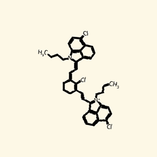 CCCCn1/c(=C\C=C2\CCCC(/C=C/C3=[N+](CCCC)c4ccc(Cl)c5cccc3c45)=C2Cl)c2cccc3c(Cl)ccc1c32